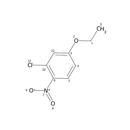 CCOc1ccc([N+](=O)[O-])c(Cl)c1